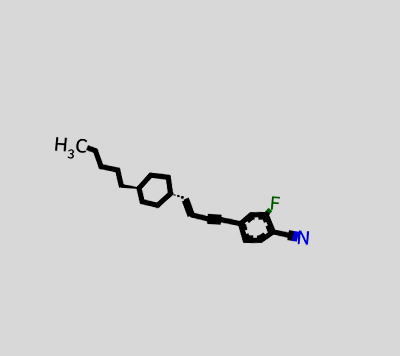 CCCCC[C@H]1CC[C@H](C=CC#Cc2ccc(C#N)c(F)c2)CC1